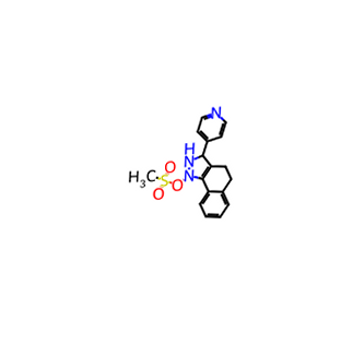 CS(=O)(=O)ON1NC(c2ccncc2)C2=C1c1ccccc1CC2